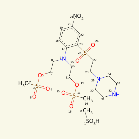 CS(=O)(=O)O.CS(=O)(=O)OCCN(CCOS(C)(=O)=O)c1ccc([N+](=O)[O-])cc1S(=O)(=O)CCN1CCNCC1